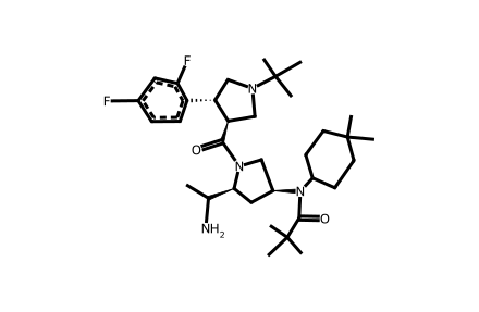 CC(N)[C@@H]1C[C@H](N(C(=O)C(C)(C)C)C2CCC(C)(C)CC2)CN1C(=O)[C@@H]1CN(C(C)(C)C)C[C@H]1c1ccc(F)cc1F